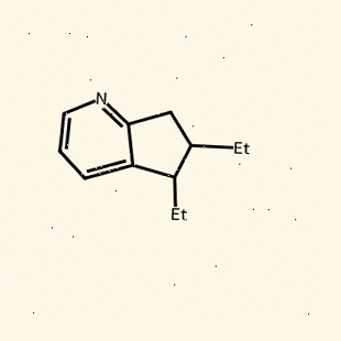 CCC1Cc2ncccc2C1CC